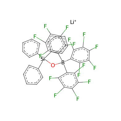 Fc1c(F)c(F)c([B-](O[Si](c2ccccc2)(c2ccccc2)c2ccccc2)(c2c(F)c(F)c(F)c(F)c2F)c2c(F)c(F)c(F)c(F)c2F)c(F)c1F.[Li+]